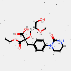 CCOC(=O)[C@@](Cc1ccc(N2CCCNC2=O)cc1)(OC[C@H](CO)OC)C(=O)O